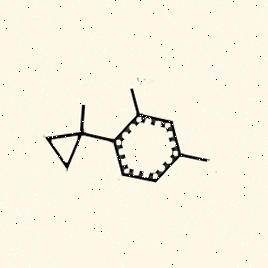 COc1cc(Br)ccc1C1(C)CC1